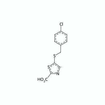 O=C(O)c1n[c]c(SCc2ccc(Cl)cc2)s1